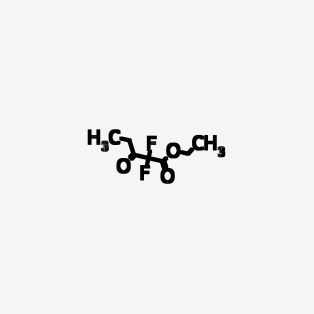 CCOC(=O)C(F)(F)C(=O)CC